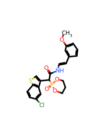 COc1cccc(C=CNC(=O)C(c2csc3ccc(Cl)cc23)P2(=O)OCCCO2)c1